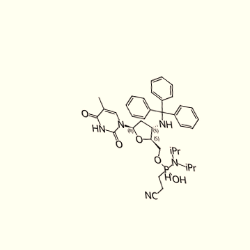 Cc1cn([C@H]2C[C@H](NC(c3ccccc3)(c3ccccc3)c3ccccc3)[C@@H](CO[PH](O)(CCC#N)N(C(C)C)C(C)C)O2)c(=O)[nH]c1=O